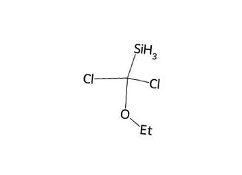 CCOC([SiH3])(Cl)Cl